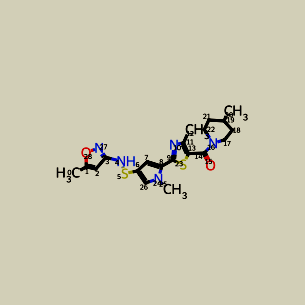 Cc1cc(NSc2cc(-c3nc(C)c(C(=O)N4CCC(C)CC4)s3)n(C)c2)no1